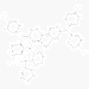 CC(C)(C)c1ccc(N(c2ccc(C(C)(C)C)cc2)c2ccc3c(c2)cc2c4c(c(N(c5ccc(C(C)(C)C)cc5)c5ccc(C(C)(C)C)cc5)ccc43)C(C)(C)c3c-2ccc2c3C(C)(C)c3ccccc3-2)cc1